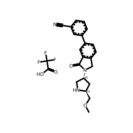 COC[C@@H]1C[C@@H](N2Cc3ccc(-c4cccc(C#N)c4)cc3C2=O)CN1.O=C(O)C(F)(F)F